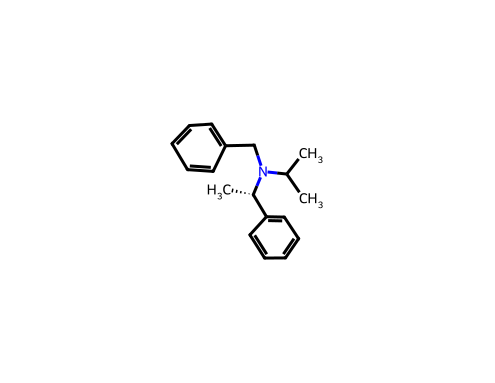 CC(C)N(Cc1ccccc1)[C@@H](C)c1ccccc1